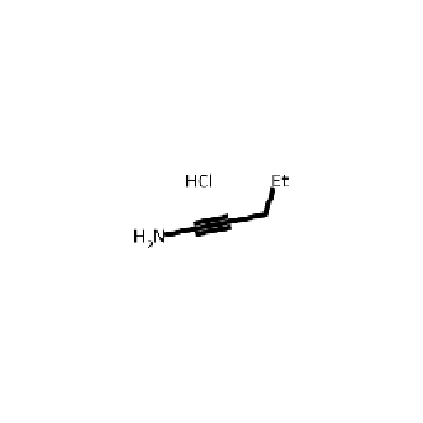 CCCC#CN.Cl